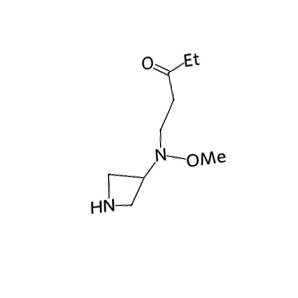 CCC(=O)CCN(OC)C1CNC1